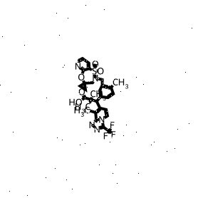 Cc1ccc(C(c2ccn3c(C(F)(F)F)nnc3c2C)C(C)(C)C(=O)O)cc1CN1CC2(CC2)Oc2ncccc2S1(=O)=O